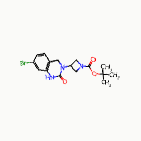 CC(C)(C)OC(=O)N1CC(N2Cc3ccc(Br)cc3NC2=O)C1